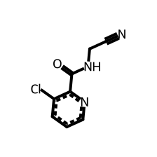 N#CCNC(=O)c1ncccc1Cl